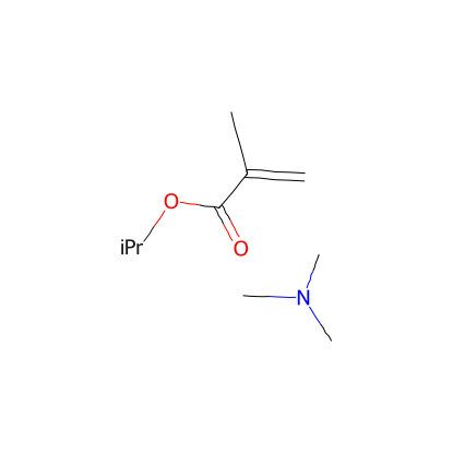 C=C(C)C(=O)OC(C)C.CN(C)C